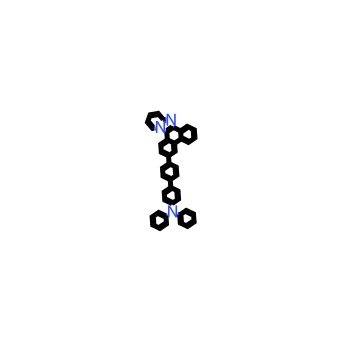 c1ccc(N(c2ccccc2)c2ccc(-c3ccc(-c4ccc5c(c4)c4ccccc4c4nc6ccccn6c54)cc3)cc2)cc1